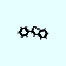 PC(=Cc1ccccc1)c1ccccc1